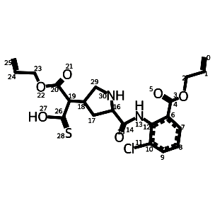 C=CCOC(=O)c1cccc(Cl)c1NC(=O)C1CC(C(C(=O)OCC=C)C(O)=S)CN1